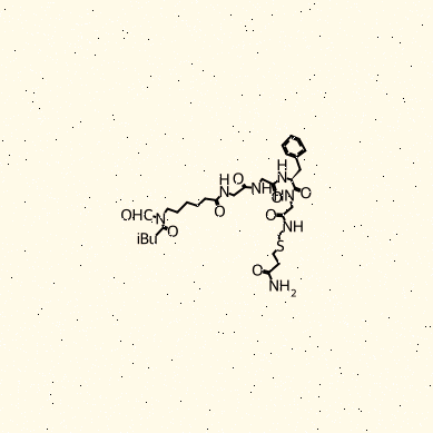 CCC(C)C(=O)N(C=O)CCCCCC(=O)NCC(=O)NCC(=O)N[C@@H](Cc1ccccc1)C(=O)NCC(=O)NCSCCC(N)=O